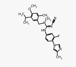 COc1cc(C)c(CN(C)/C(=N\C#N)Nc2ccc(-n3cnc(C)c3)c(F)c2)cc1C(C)C